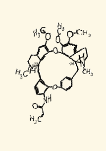 C=CC(=O)Nc1ccc2cc1Oc1ccc(cc1)C[C@H]1c3c(cc(OC)c(OC)c3Oc3cc4c(cc3OC)CCN(C)[C@@H]4C2)CCN1C